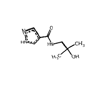 CC(C)(O)CNC(=O)c1cn[nH]c1